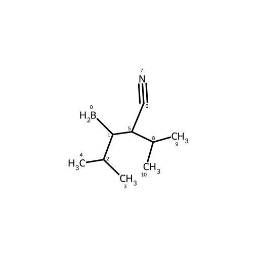 BC(C(C)C)C(C#N)C(C)C